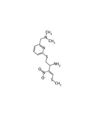 CSC=C(C(N)CSc1cccc(CN(C)C)n1)[N+](=O)[O-]